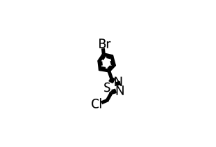 ClCc1nnc(-c2ccc(Br)cc2)s1